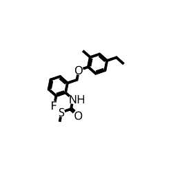 CCc1ccc(OCc2cccc(F)c2NC(=O)SC)c(C)c1